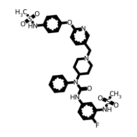 CS(=O)(=O)Nc1ccc(Oc2ccc(CN3CCC(N(C(=O)Nc4ccc(F)c(NS(C)(=O)=O)c4)c4ccccc4)CC3)cn2)cc1